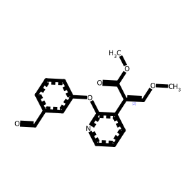 CO/C=C(\C(=O)OC)c1cccnc1Oc1cccc(C=O)c1